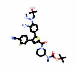 CNN(CC(C)(C)O)c1ccc(-c2sc(C(=O)N3CCC[C@@H](N(C)C(=O)OC(C)(C)C)C3)cc2-c2ccc(C#N)c(F)c2)cc1N